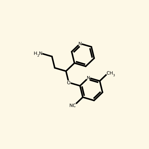 Cc1ccc(C#N)c(OC(CCN)c2cccnc2)n1